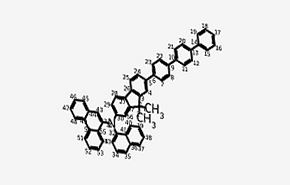 CC1(C)c2cc(-c3ccc(-c4ccc(-c5ccccc5)cc4)cc3)ccc2-c2ccc(N(c3cccc4ccccc34)c3cc4ccccc4c4ccccc34)cc21